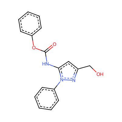 O=C(Nc1cc(CO)nn1-c1ccccc1)Oc1ccccc1